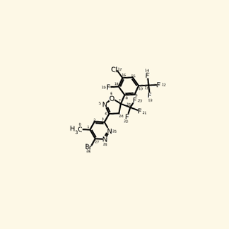 Cc1cc(C2=NOC(c3cc(C(F)(F)F)cc(Cl)c3F)(C(F)(F)F)C2)nnc1Br